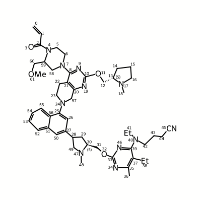 C=CC(=O)N1CCN(c2nc(OC[C@@H]3CCCN3C)nc3c2CCN(c2cc(C4C[C@@H](COc5nc(C)c(CC)c(N(CC)CCCC#N)n5)N(C)C4)cc4ccccc24)C3)CC1COC